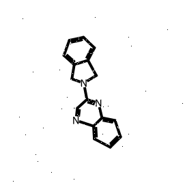 [c]1nc2ccccc2nc1N1Cc2ccccc2C1